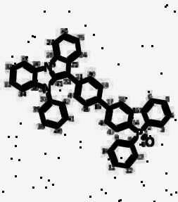 O=P(c1ccccc1)(c1ccccc1)c1ccc(-c2ccc(-c3c4ccccc4n4c5ccccc5n(-c5ccccc5)c34)cc2)cc1